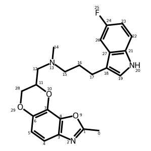 Cc1nc2ccc3c(c2o1)OC(CN(C)CCCc1c[nH]c2ccc(F)cc12)CO3